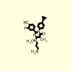 Cc1c(N(C)CCCN)nc(-c2ccc(C#N)c(F)c2)n(-c2ccc(C3CC3)cc2)c1=O